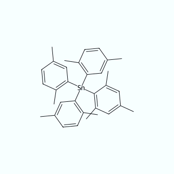 Cc1cc(C)[c]([Sn]([c]2cc(C)ccc2C)([c]2cc(C)ccc2C)[c]2cc(C)ccc2C)c(C)c1